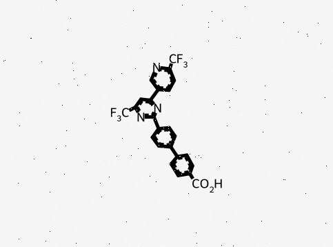 O=C(O)c1ccc(-c2ccc(-c3nc(-c4ccc(C(F)(F)F)nc4)cc(C(F)(F)F)n3)cc2)cc1